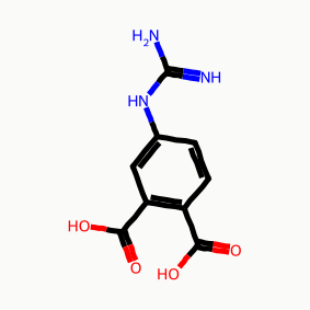 N=C(N)Nc1ccc(C(=O)O)c(C(=O)O)c1